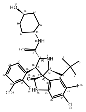 CC(C)(C)C[C@@H]1N[C@@H](C(=O)N[C@H]2CC[C@H](O)CC2)[C@H](c2cccc(Cl)c2F)[C@]12C(=O)Nc1cc(Cl)c(F)cc12